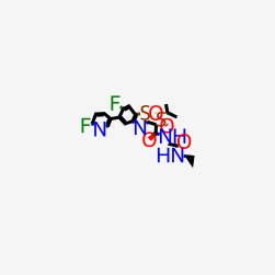 CC(C)S(=O)(=O)C(C(=O)NCC(=O)NC1CC1)c1nc2cc(-c3ccc(F)nc3)c(F)cc2s1